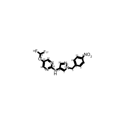 O=[N+]([O-])c1ccc(Cn2cc(Nc3ncc(OC(F)F)cn3)cn2)cc1